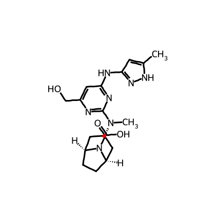 Cc1cc(Nc2cc(CO)nc(N(C)[C@@H]3C[C@H]4CC[C@@H](C3)N4C(=O)O)n2)n[nH]1